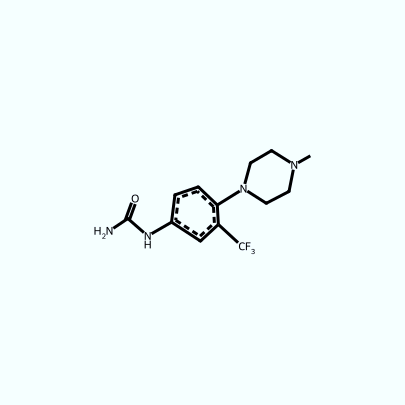 CN1CCN(c2ccc(NC(N)=O)cc2C(F)(F)F)CC1